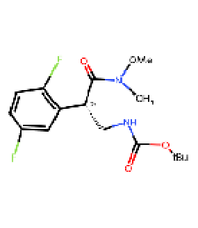 CON(C)C(=O)[C@H](CNC(=O)OC(C)(C)C)c1cc(F)ccc1F